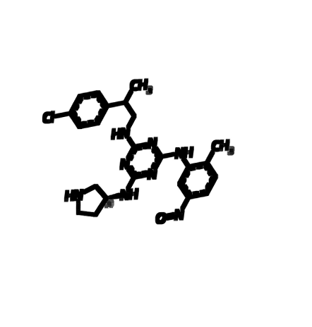 Cc1ccc(N=O)cc1Nc1nc(NCC(C)c2ccc(Cl)cc2)nc(N[C@H]2CCNC2)n1